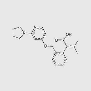 CC(C)=C(C(=O)O)c1ccccc1COc1ccnc(N2CCCC2)c1